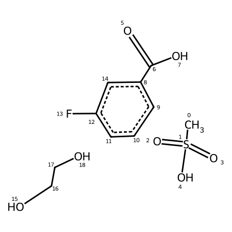 CS(=O)(=O)O.O=C(O)c1cccc(F)c1.OCCO